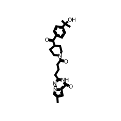 Cc1cc2c(=O)[nH]c(CCCC(=O)N3CCC(C(=O)c4ccc(C(C)(C)O)cc4)CC3)nn2c1